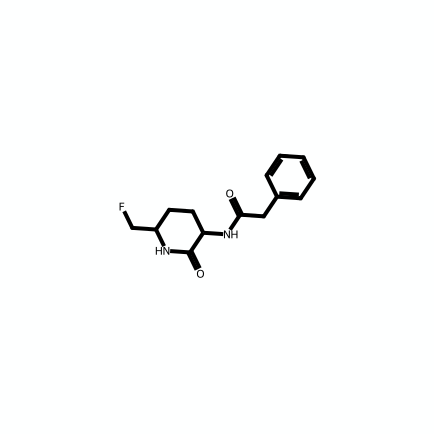 O=C(Cc1ccccc1)NC1CCC(CF)NC1=O